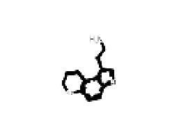 NCCc1coc2ccc3c(c12)CCCO3